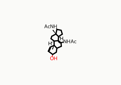 CC(=O)NC1=C2[C@@H]3CC[C@H](NC(C)=O)[C@@]3(C)CC[C@@H]2[C@@]2(C)C=C[C@H](O)CC2C1